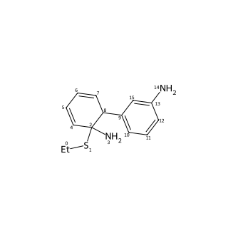 CCSC1(N)C=CC=CC1c1cccc(N)c1